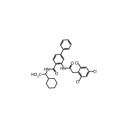 O=C(Cc1c(Cl)cc(Cl)cc1Cl)Nc1cc(-c2ccccc2)ccc1C(=O)NC(C(=O)O)C1CCCCC1